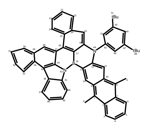 Cc1c2ccccc2c(C)c2cc3c(cc12)B1c2c(cc4ccccc4c2-c2cc4ccccc4c4c5ccccc5n1c24)N3c1cc(C(C)(C)C)cc(C(C)(C)C)c1